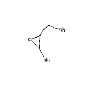 CCCCC1OC1CCC